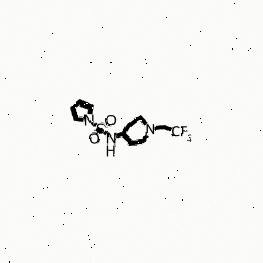 O=S(=O)(NC1CCN(CC(F)(F)F)CC1)n1cccc1